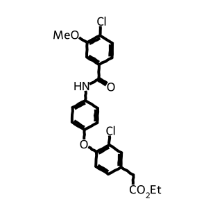 CCOC(=O)Cc1ccc(Oc2ccc(NC(=O)c3ccc(Cl)c(OC)c3)cc2)c(Cl)c1